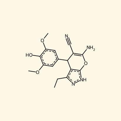 CCc1n[nH]c2c1C(c1cc(OC)c(O)c(OC)c1)C(C#N)=C(N)O2